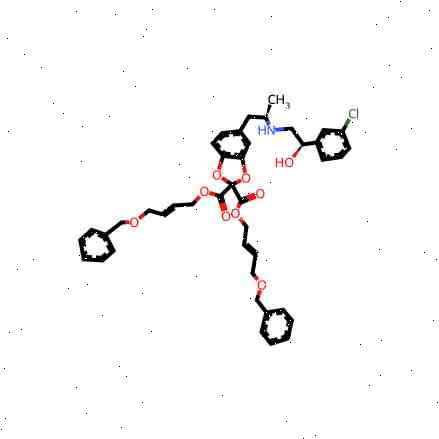 C[C@H](Cc1ccc2c(c1)OC(C(=O)OCC=CCOCc1ccccc1)(C(=O)OCC=CCOCc1ccccc1)O2)NC[C@H](O)c1cccc(Cl)c1